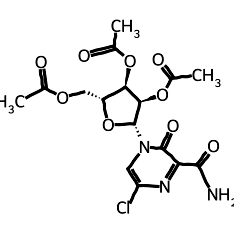 CC(=O)OC[C@H]1O[C@@H](n2cc(Cl)nc(C(N)=O)c2=O)[C@H](OC(C)=O)[C@@H]1OC(C)=O